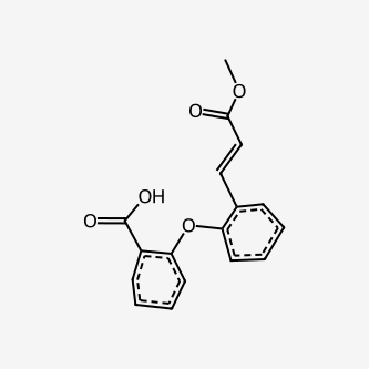 COC(=O)C=Cc1ccccc1Oc1ccccc1C(=O)O